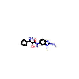 Nc1nc2ccc(NC(=O)[C@H](O)C(N)c3ccccc3)cc2[nH]1